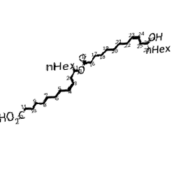 CCCCCCC(C/C=C\CCCCCCCC(=O)O)OC(=O)CCCCCCC/C=C\C[C@H](O)CCCCCC